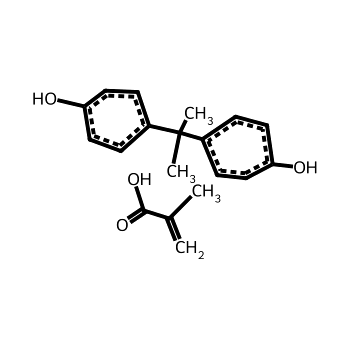 C=C(C)C(=O)O.CC(C)(c1ccc(O)cc1)c1ccc(O)cc1